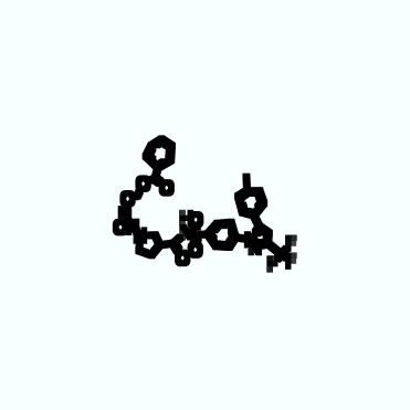 Cc1ccc(-c2cc(C(F)(F)F)nn2-c2ccc(S(=O)(=O)NC(=O)C3CCN(n4on4OCOC(=O)c4ccccc4)C3)cc2)cc1